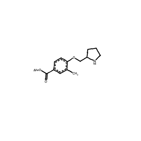 COC(=O)c1ccc(OCC2CCCN2)c(C)c1